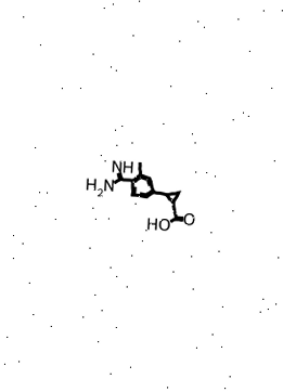 Cc1cc(C2CC2C(=O)O)ccc1C(=N)N